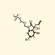 C=CC[C@]1(O)C(=O)N(COCC[Si](C)(C)C)c2cc(Br)cc(Br)c21